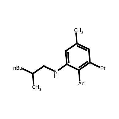 CCCCC(C)CNc1cc(C)cc(CC)c1C(C)=O